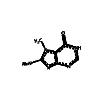 CNc1nc2nc[nH]c(=O)c2n1C